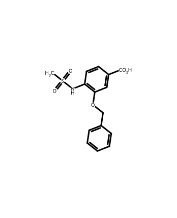 CS(=O)(=O)Nc1ccc(C(=O)O)cc1OCc1ccccc1